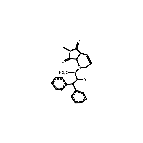 CN1C(=O)C2C=CCN(N(C(=O)O)C(O)C(c3ccccc3)c3ccccc3)C2C1=O